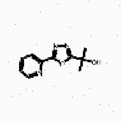 CC(C)(O)c1nnc(-c2ccccn2)o1